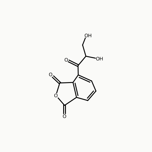 O=C1OC(=O)c2c1cccc2C(=O)C(O)CO